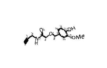 C#CCNC(=O)COCc1ccc(O)c(OC)c1